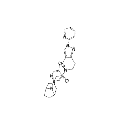 O=C(CN1CC2CCC(C1)N2c1ccc(C(F)(F)F)cn1)N1CCc2nn(-c3ccccn3)cc2C1